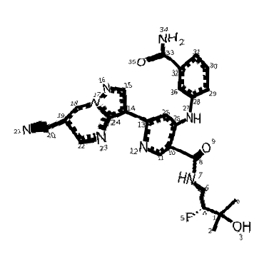 CC(C)(O)[C@H](F)CNC(=O)c1cnc(-c2cnn3cc(C#N)cnc23)cc1Nc1cccc(C(N)=O)c1